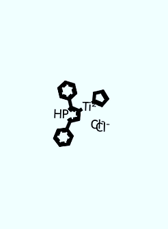 C1=CC[C]([Ti+2][c]2cc(-c3ccccc3)[pH]c2-c2ccccc2)=C1.[Cl-].[Cl-]